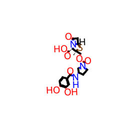 C[C@@]1(COC(=O)N2CCC(NC(=O)c3ccc(O)c(O)c3)C2)S[C@@H]2CC(=O)N2[C@H]1C(=O)O